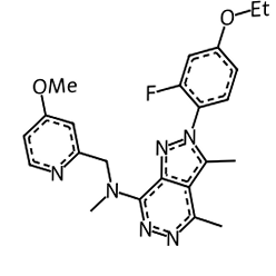 CCOc1ccc(-n2nc3c(N(C)Cc4cc(OC)ccn4)nnc(C)c3c2C)c(F)c1